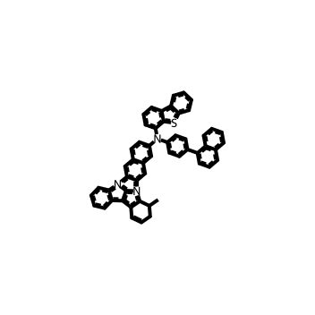 CC1CC=Cc2c1n1c3cc4cc(N(c5ccc(-c6cccc7ccccc67)cc5)c5cccc6c5sc5ccccc56)ccc4cc3n3c4ccccc4c2c13